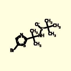 CC(C)(N[S+]([O-])C(C)(C)C)c1ncc(Br)s1